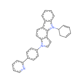 C1=CCC(n2c3ccccc3c3ccc4c(ccn4-c4ccc(-c5ccccn5)cc4)c32)C=C1